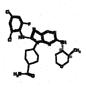 C[C@H]1COCC[C@@H]1Nc1ncc2nc(Nc3c(F)cc(Cl)cc3Cl)n(C3CCC(C(N)=O)CC3)c2n1